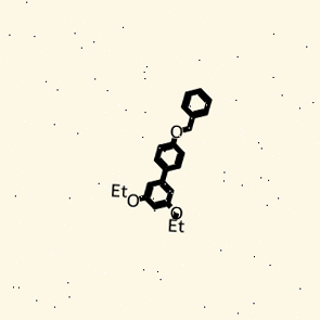 CCOc1[c]c(OCC)cc(-c2ccc(OCc3ccccc3)cc2)c1